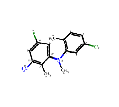 Cc1ccc(Cl)cc1N(C)c1cc(F)cc(N)c1C